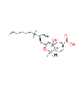 CCCCCCC(C)(C)c1ccc2c(c1)OC(C)(C)[C@@H]1CC=C(C(=O)O)C[C@]21O